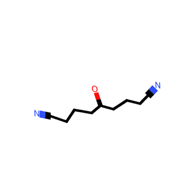 N#CCCCC(=O)CCCC#N